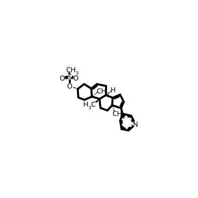 C[C@]12CC[C@@]3(C)[C@@H](CC=C4C[C@@H](OS(C)(=O)=O)CC[C@@]43C)C1=CC=C2c1cccnc1